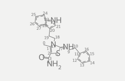 CC1=C(C(N)=O)SC(NCCc2ccccc2)N1CCc1c[nH]c2ccccc12